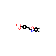 Cc1cc2nc(/C=C/c3ccc(C(=O)O)cc3)oc2cc1C